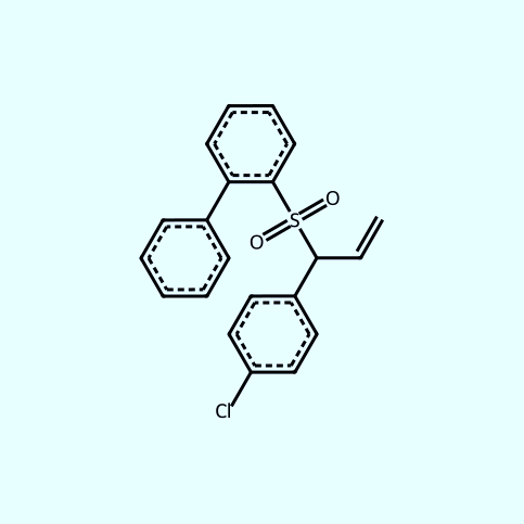 C=CC(c1ccc(Cl)cc1)S(=O)(=O)c1ccccc1-c1ccccc1